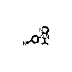 CC(C)c1nc2cccnc2n1-c1ccc(C#N)cc1